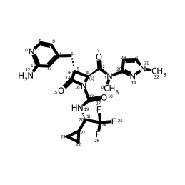 CN(C(=O)[C@@H]1[C@@H](Cc2ccnc(N)c2)C(=O)N1C(=O)N[C@@H](C1CC1)C(F)(F)F)c1ccn(C)n1